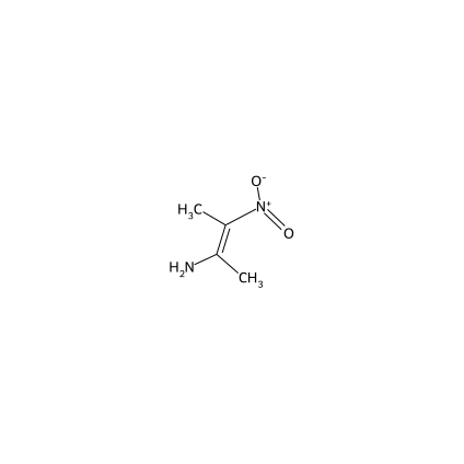 CC(N)=C(C)[N+](=O)[O-]